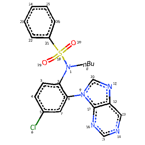 CCCCN(c1ccc(Cl)cc1-n1cnc2cncnc21)S(=O)(=O)c1ccccc1